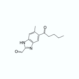 CCCCC(=O)c1cc2nc(C=O)[nH]c2cc1C